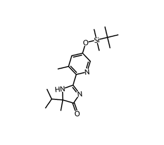 Cc1cc(O[Si](C)(C)C(C)(C)C)cnc1C1=NC(=O)C(C)(C(C)C)N1